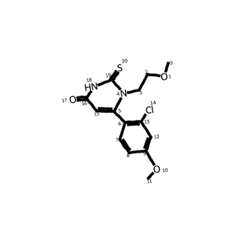 COCCn1c(-c2ccc(OC)cc2Cl)cc(=O)[nH]c1=S